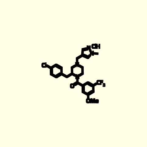 COc1cc(C(=O)N2CCN(Cc3cnn(C)c3)CC2Cc2ccc(Cl)cc2)cc(C(F)(F)F)c1.Cl